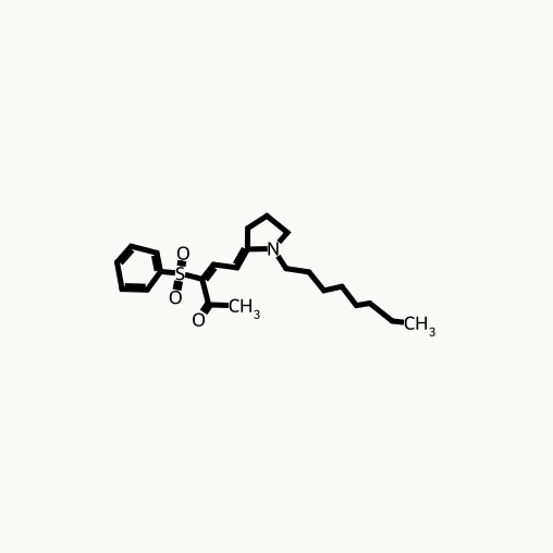 CCCCCCCCN1CCCC1=CC=C(C(C)=O)S(=O)(=O)c1ccccc1